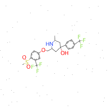 CC1CC(O)(c2ccc(C(F)(F)F)cc2)CC(COc2ccc(S(C)(=O)=O)c(C(F)(F)F)c2)N1